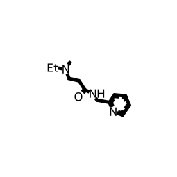 CCN(C)CCC(=O)NCc1ccccn1